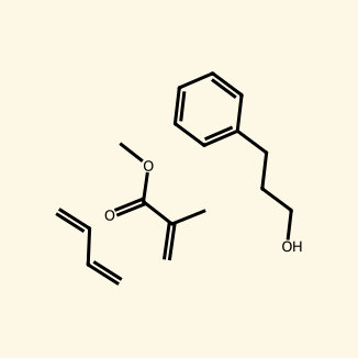 C=C(C)C(=O)OC.C=CC=C.OCCCc1ccccc1